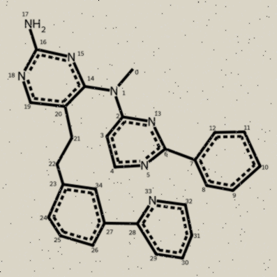 CN(c1ccnc(-c2ccccc2)n1)c1nc(N)ncc1CCc1cccc(-c2ccccn2)c1